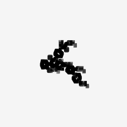 CCC(=O)N[C@H]1CC[C@@H](n2c(=O)c(-c3ccccc3Cl)c(C)c3cnc(Nc4ccc(N5CCN(C)CC5)c(C)c4)nc32)CC1